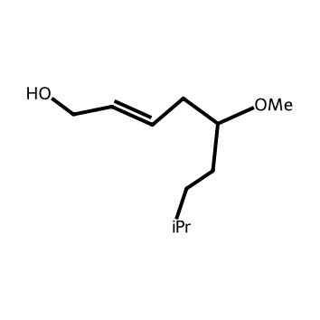 COC(CC=CCO)CCC(C)C